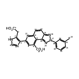 O=C(O)Cc1[nH]nnc1-c1cc(C(=O)O)c2c(ccc3nn(-c4cccc(F)c4)nc32)n1